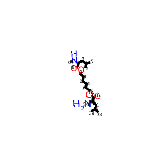 CNC(CC(C)C)C(=O)OCCCCCCOC(=O)C(N)CC(C)C